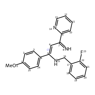 COc1ccc(/C(=C/C(=N)c2ccccn2)NCc2ccccc2F)cc1